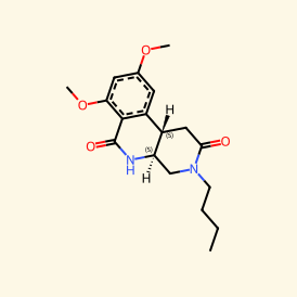 CCCCN1C[C@H]2NC(=O)c3c(OC)cc(OC)cc3[C@@H]2CC1=O